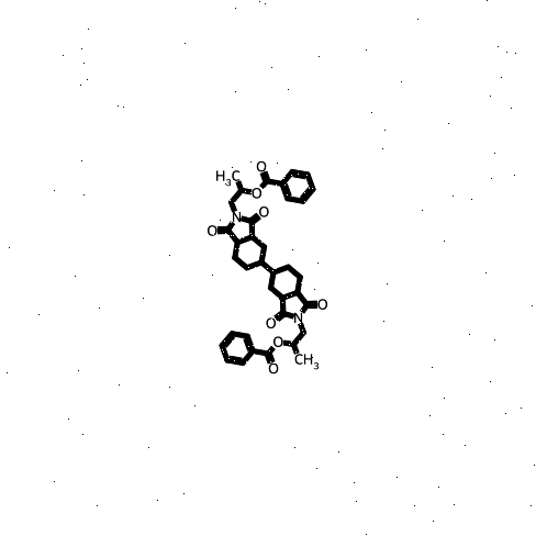 CC(CN1C(=O)C2CCC(C3CCC4C(=O)N(CC(C)OC(=O)c5ccccc5)C(=O)C4C3)CC2C1=O)OC(=O)c1ccccc1